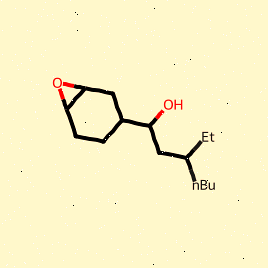 CCCCC(CC)CC(O)C1CCC2OC2C1